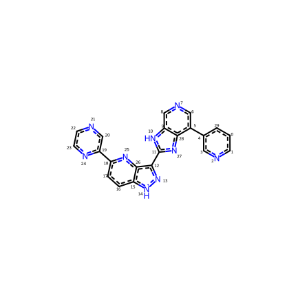 c1cncc(-c2cncc3[nH]c(-c4n[nH]c5ccc(-c6cnccn6)nc45)nc23)c1